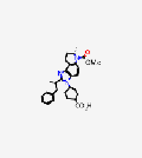 COC(=O)N1c2ccc3c(nc([C@H](C)Cc4ccccc4)n3C3CCC(C(=O)O)CC3)c2CC[C@@H]1C